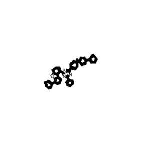 CC1(c2ccc(-c3ccccc3)cc2)C=CC(c2nc(C3=CCCc4oc5c(-c6ccccc6)cccc5c43)nc(-c3ccccc3)n2)=CC1